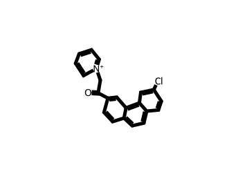 O=C(C[n+]1ccccc1)c1ccc2ccc3ccc(Cl)cc3c2c1